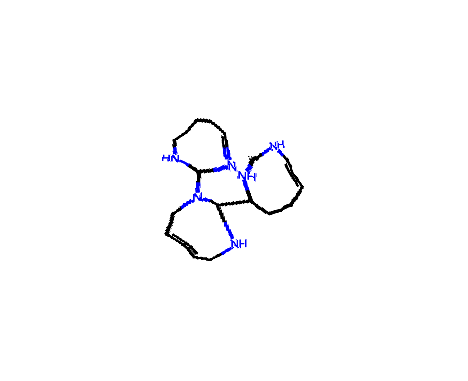 [C]1N/C=C\CCC(C2NCC=CCN2C2N=CCCN2)N1